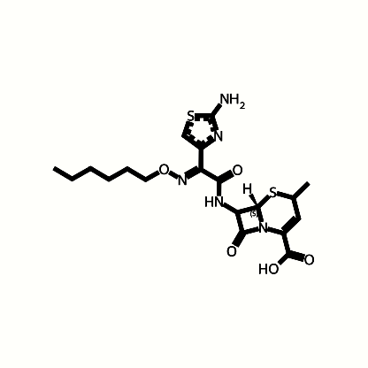 CCCCCCON=C(C(=O)NC1C(=O)N2C(C(=O)O)=CC(C)S[C@@H]12)c1csc(N)n1